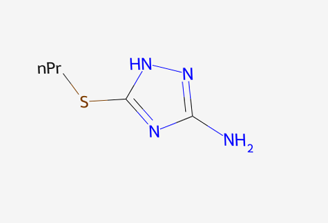 [CH2]CCSc1nc(N)n[nH]1